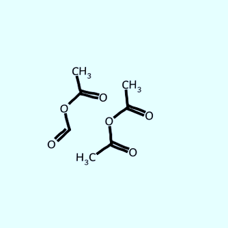 CC(=O)OC(C)=O.CC(=O)OC=O